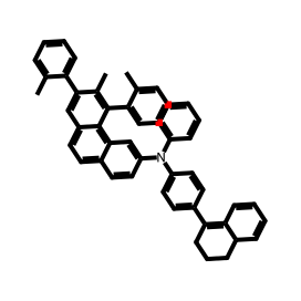 Cc1ccccc1-c1cc2ccc3ccc(N(c4ccccc4)c4ccc(C5=C6C=CC=CC6CCC5)cc4)cc3c2c(-c2ccccc2C)c1C